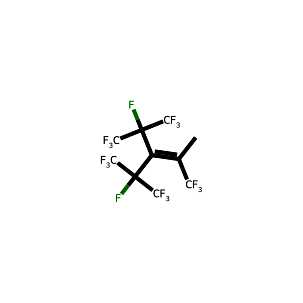 CC(=C(C(F)(C(F)(F)F)C(F)(F)F)C(F)(C(F)(F)F)C(F)(F)F)C(F)(F)F